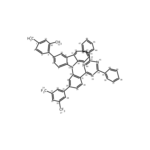 Cc1ccc(-c2ccc3c(c2)c2ccccc2n3-c2cc(-c3cc(C(F)(F)F)cc(C(F)(F)F)c3)ccc2-c2nc(-c3ccccc3)nc(-c3ccccc3)n2)c(C)c1